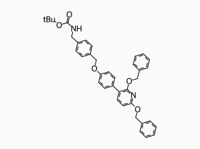 CC(C)(C)OC(=O)NCc1ccc(COc2ccc(-c3ccc(OCc4ccccc4)nc3OCc3ccccc3)cc2)cc1